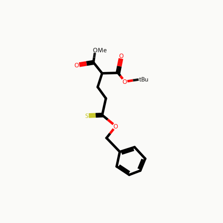 COC(=O)C(CCC(=S)OCc1ccccc1)C(=O)OC(C)(C)C